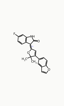 CC1(C)O/C(=C2/C(=O)Nc3cc(F)ccc32)C=C1c1ccc2occc2c1